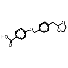 O=C(O)c1ccc(OCc2ccc(CC3OCCO3)cc2)cc1